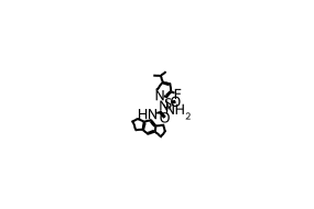 CC(C)c1cnc(S(N)(=O)=NC(=O)Nc2c3c(cc4c2CCC4)CCC3)c(F)c1